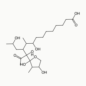 CC(=O)C(O)(C(CC(C)O)C(C)C(O)CCCCCCCC(=O)O)C1(O)OCC(O)C1C